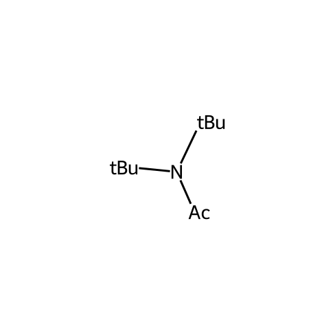 CC(=O)N(C(C)(C)C)C(C)(C)C